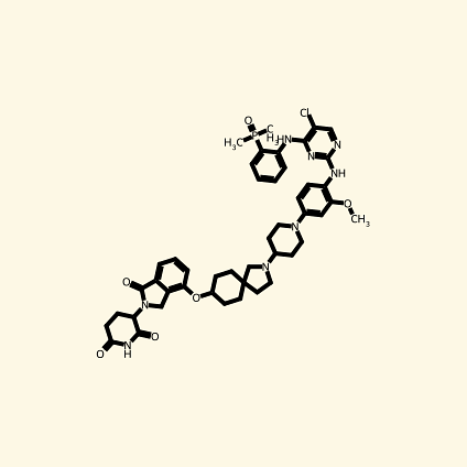 COc1cc(N2CCC(N3CCC4(CCC(Oc5cccc6c5CN(C5CCC(=O)NC5=O)C6=O)CC4)C3)CC2)ccc1Nc1ncc(Cl)c(Nc2ccccc2P(C)(C)=O)n1